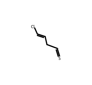 S=[C]CC=CCl